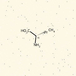 C.CC(C)[C@H](N)C(=O)O